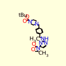 C[C@H](Nc1nccc(N2C(=O)OC[C@@H]2C)n1)c1ccc(CN2CCN(C(=O)OC(C)(C)C)CC2)cc1